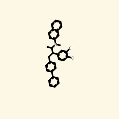 CC(C(Cc1ccc(-c2ccccc2)cc1)c1ccc(Cl)c(Cl)c1)N(C)c1ccc2ccccc2c1